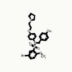 COc1ccc(Br)cc1S(=O)(=O)N(Cc1ccc(O)cc1)c1ccc(OCCN2CCCC2)cc1